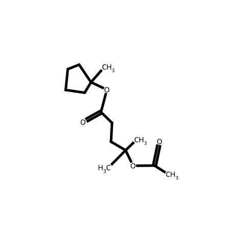 CC(=O)OC(C)(C)CCC(=O)OC1(C)CCCC1